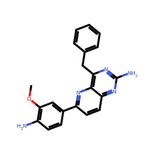 COc1cc(-c2ccc3nc(N)nc(Cc4ccccc4)c3n2)ccc1N